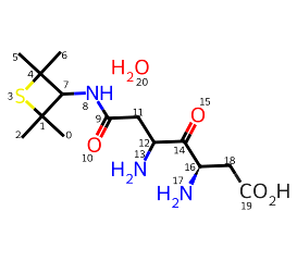 CC1(C)SC(C)(C)C1NC(=O)CC(N)C(=O)[C@H](N)CC(=O)O.O